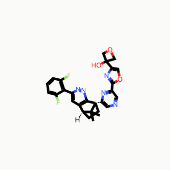 CC1(C)[C@H]2CC[C@]1(c1cncc(-c3nc(C4(O)COC4)co3)n1)c1nnc(-c3c(F)cccc3F)cc12